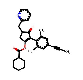 CC#Cc1cc(C)c(C2=C(OC(=O)C3CCCCC3)CC(Cc3ccccn3)C2=O)c(C)c1